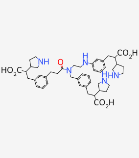 O=C(O)C(Cc1cccc(CCC(=O)N(CCNc2cccc(CC(C(=O)O)C3CCNC3)c2)Cc2cccc(CC(C(=O)O)C3CCNC3)c2)c1)C1CCNC1